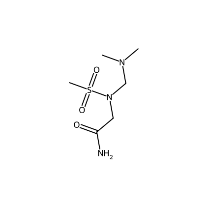 CN(C)CN(CC(N)=O)S(C)(=O)=O